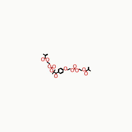 C=C(C)C(=O)OCCOC(=O)OCCOc1ccc(C(=O)C(C)(C)OC(=O)OCCOC(=O)C(=C)C)cc1